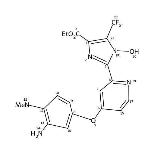 CCOC(=O)c1nc(-c2cc(Oc3ccc(NC)c(N)c3)ccn2)n(O)c1C(F)(F)F